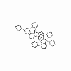 c1ccc(-c2cccc(-c3ccccc3-n3c4ccccc4c4c(-n5c6ccccc6c6cccc([Si](c7ccccc7)(c7ccccc7)c7ccccc7)c65)cccc43)c2)cc1